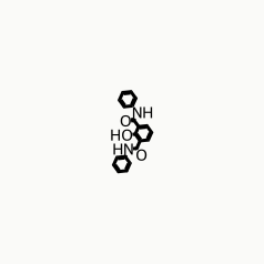 O=C(Nc1ccccc1)c1cccc(C(=O)Nc2ccccc2)c1O